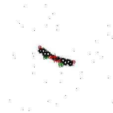 CC(C)(C[C@@]1(O)CC[C@]2(C)C3=CC[C@]4(C)C(=O)CCC4C3CC(Br)C2(Br)C1)[Si](C)(C)O[Si](C)(C)C(C)(C)C[C@]1(O)CC[C@]2(C)C3=CC[C@]4(C)C(=O)CCC4C3CC(Br)C2(Br)C1